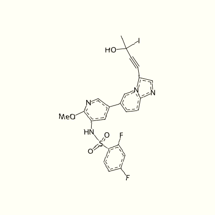 COc1ncc(-c2ccc3ncc(C#CC(C)(O)I)n3c2)cc1NS(=O)(=O)c1ccc(F)cc1F